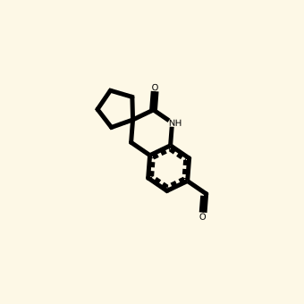 O=Cc1ccc2c(c1)NC(=O)C1(CCCC1)C2